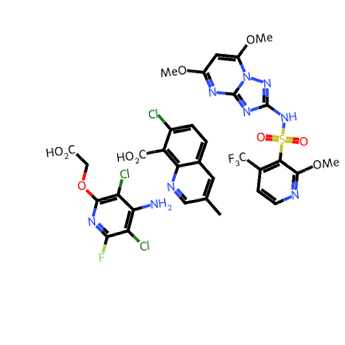 COc1cc(OC)n2nc(NS(=O)(=O)c3c(C(F)(F)F)ccnc3OC)nc2n1.Cc1cnc2c(C(=O)O)c(Cl)ccc2c1.Nc1c(Cl)c(F)nc(OCC(=O)O)c1Cl